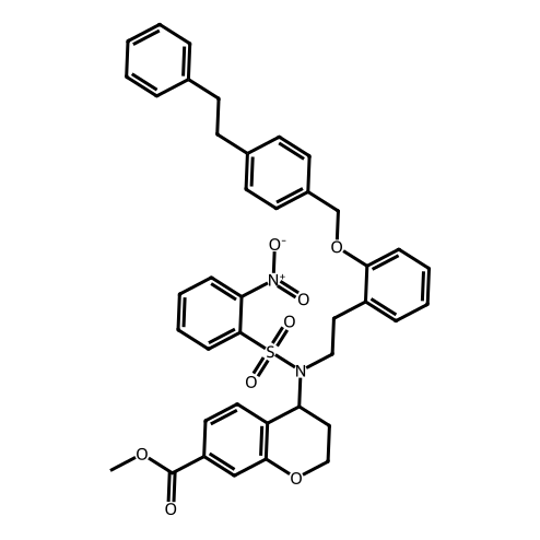 COC(=O)c1ccc2c(c1)OCCC2N(CCc1ccccc1OCc1ccc(CCc2ccccc2)cc1)S(=O)(=O)c1ccccc1[N+](=O)[O-]